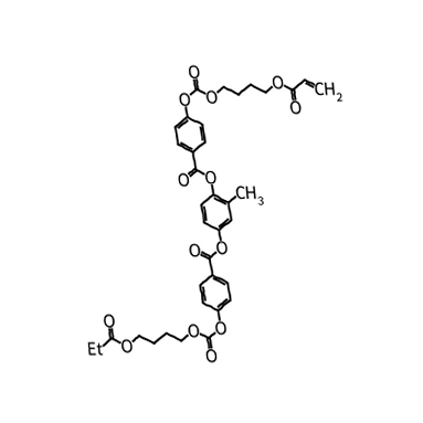 C=CC(=O)OCCCCOC(=O)Oc1ccc(C(=O)Oc2ccc(OC(=O)c3ccc(OC(=O)OCCCCOC(=O)CC)cc3)cc2C)cc1